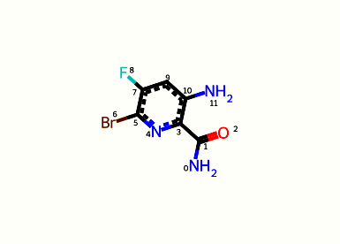 NC(=O)c1nc(Br)c(F)cc1N